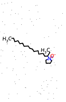 CCCCCCCCCCCCCCCC(CC)[N+]1([O-])CCCC1